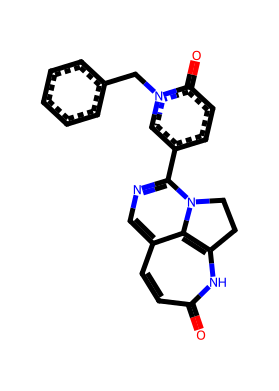 O=C1C=CC2=CN=C(c3ccc(=O)n(Cc4ccccc4)c3)N3CCC(=C23)N1